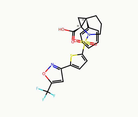 O=C(O)[C@@]12C[C@]1(c1ccccc1)CCCN2S(=O)(=O)c1ccc(-c2cc(C(F)(F)F)on2)s1